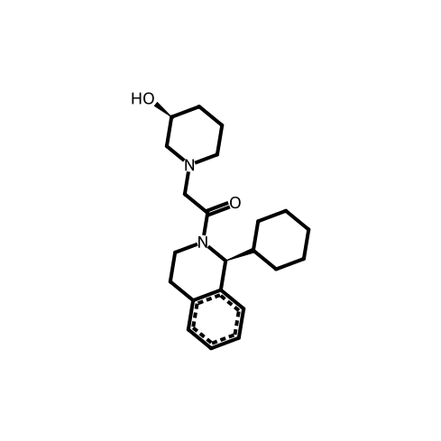 O=C(CN1CCC[C@H](O)C1)N1CCc2ccccc2[C@@H]1C1CCCCC1